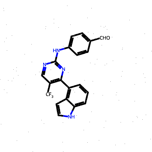 O=Cc1ccc(Nc2ncc(C(F)(F)F)c(-c3cccc4[nH]ccc34)n2)cc1